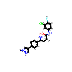 C[C@H](C[C@H](N)c1ccc(-c2cnn(C)c2)cc1)C(O)Nc1ccc(F)c(Cl)c1